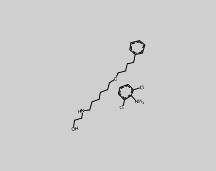 Nc1c(Cl)cccc1Cl.OCCNCCCCCCOCCCCc1ccccc1